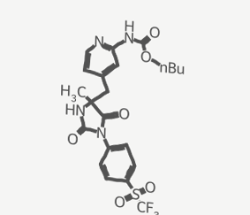 CCCCOC(=O)Nc1cc(CC2(C)NC(=O)N(c3ccc(S(=O)(=O)C(F)(F)F)cc3)C2=O)ccn1